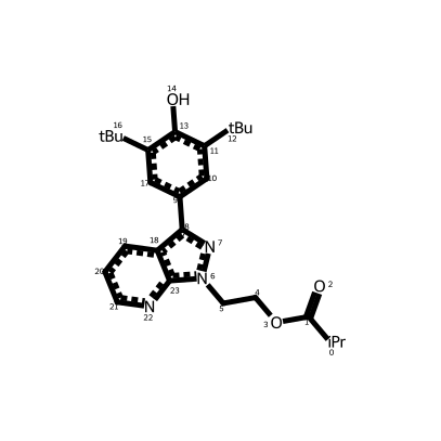 CC(C)C(=O)OCCn1nc(-c2cc(C(C)(C)C)c(O)c(C(C)(C)C)c2)c2cccnc21